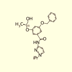 CC(C)n1ccc(NC(=O)c2cc(OCc3ccccc3)cc(O[C@@H](C)CO)c2)n1